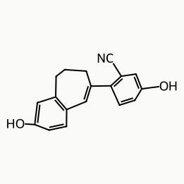 N#Cc1cc(O)ccc1C1=Cc2ccc(O)cc2CCC1